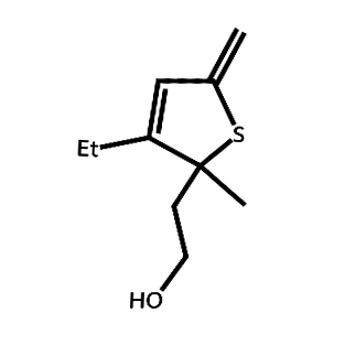 C=C1C=C(CC)C(C)(CCO)S1